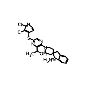 CC(O)c1nc(Sc2ccnc(Cl)c2Cl)cnc1N1CCC2(CC1)Cc1ccccc1[C@H]2N